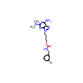 CN(C)c1nc(N)c2ncn(CCCCOC(=O)NCc3cccc(Br)c3)c2n1